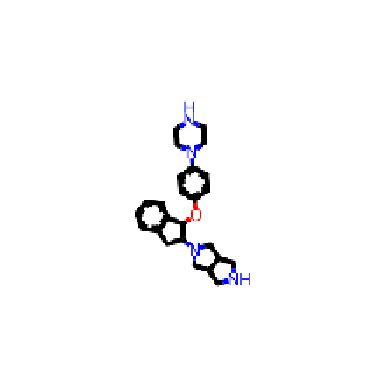 c1ccc2c(c1)CC(N1CC3CNCC3C1)C2Oc1ccc(N2CCNCC2)cc1